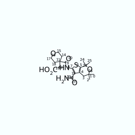 CC1(C)Cc2c(sc(NC(=O)C3(CC(=O)O)CCOCC3)c2C(N)=O)C(C)(C)O1